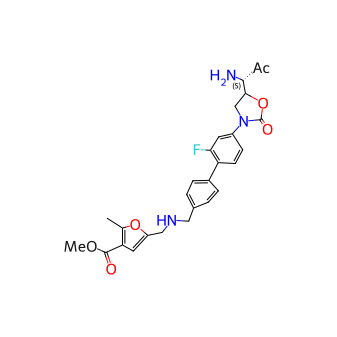 COC(=O)c1cc(CNCc2ccc(-c3ccc(N4CC([C@H](N)C(C)=O)OC4=O)cc3F)cc2)oc1C